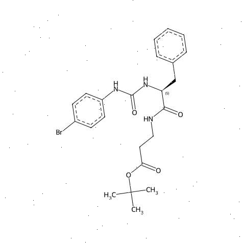 CC(C)(C)OC(=O)CCNC(=O)[C@H](Cc1ccccc1)NC(=O)Nc1ccc(Br)cc1